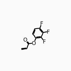 C=CC(=O)Oc1ccc(F)c(F)c1F